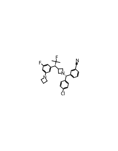 CC(C)(F)[C@H](c1cc(F)cc(N2CCC2)c1)C1CN([C@@H](c2ccc(Cl)cc2)c2cccc(C#N)c2)C1